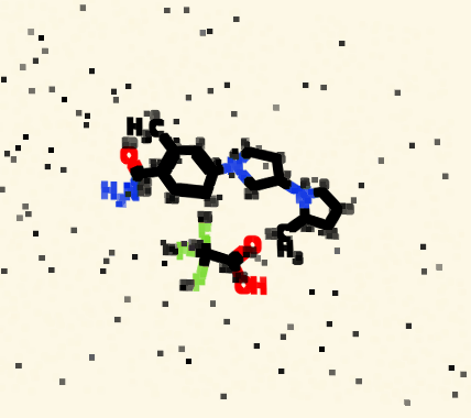 Cc1cc(N2CCC(N3CCCC3C)C2)ccc1C(N)=O.O=C(O)C(F)(F)F